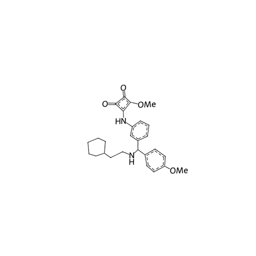 COc1ccc(C(NCCC2CCCCC2)c2cccc(Nc3c(OC)c(=O)c3=O)c2)cc1